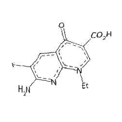 CCn1cc(C(=O)O)c(=O)c2cc(F)c(N)nc21